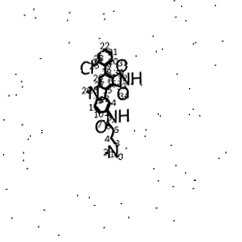 CN(C)CCCC(=O)Nc1ccc2c(c1)c1c3c(c(-c4ccccc4Cl)cc1n2C)C(=O)NC3=O